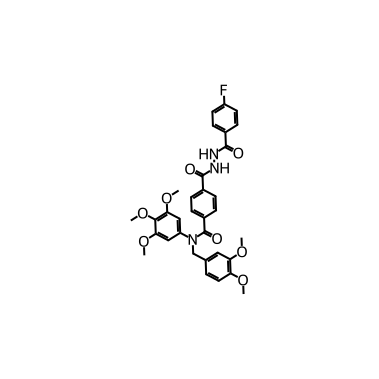 COc1ccc(CN(C(=O)c2ccc(C(=O)NNC(=O)c3ccc(F)cc3)cc2)c2cc(OC)c(OC)c(OC)c2)cc1OC